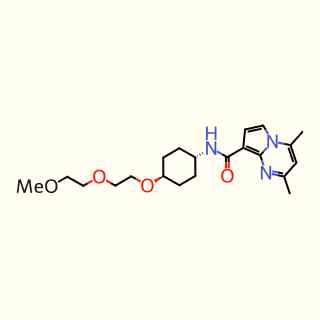 COCCOCCO[C@H]1CC[C@H](NC(=O)c2ccn3c(C)cc(C)nc23)CC1